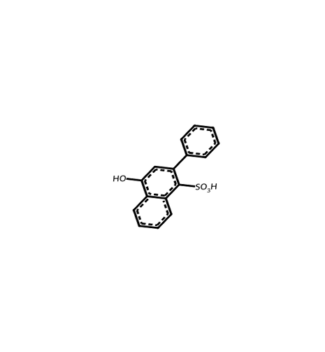 O=S(=O)(O)c1c(-c2ccccc2)cc(O)c2ccccc12